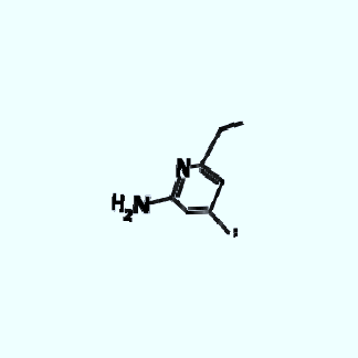 [CH]c1cc(N)nc(CC)c1